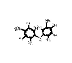 [2H]c1c([2H])c(Nc2c([2H])c([2H])c(C(C)(C)C)c([2H])c2[2H])c([2H])c(C(C)(C)C)c1[2H]